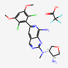 COc1cc(OC)c(Cl)c(-c2cc3cnc(N(C)[C@@H]4COC[C@@H]4N)nc3c(N)n2)c1Cl.O=C(O)C(F)(F)F